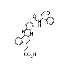 O=C(O)CCCCc1nc2cc(C(=O)N[C@@H]3CCOc4ccccc43)ccc2nc1-c1ccccc1